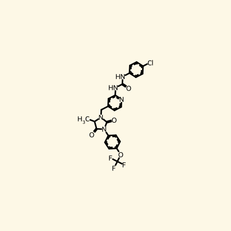 CC1C(=O)N(c2ccc(OC(F)(F)F)cc2)C(=O)N1Cc1ccnc(NC(=O)Nc2ccc(Cl)cc2)c1